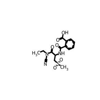 CCN(C#N)C(=O)C(CS(C)(=O)=O)NC(=O)c1ccccc1C(=O)O